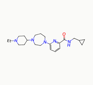 CCN1CCC(N2CCCN(c3cccc(C(=O)NCC4CC4)n3)CC2)CC1